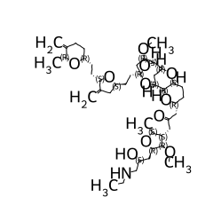 C=C1C[C@H](CC[C@]23C[C@@H](OC)[C@H](O2)[C@H]2C[C@@H](O3)[C@H]3O[C@@H](CC(=O)C[C@@H]4[C@@H](OC)[C@@H](C[C@H](O)CNCC)O[C@H]4C)CC[C@@H]3O2)O[C@H]1CC[C@H]1CCC(=C)[C@@H](C)O1